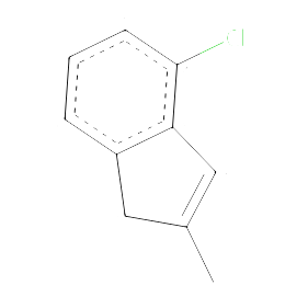 CC1=Cc2c(Cl)cccc2[CH]1